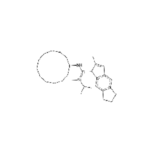 CC1=Cc2cc3c(cc2[CH]1[Ti]([NH]C1CCCCCCCCCCC1)=[Si](C)C(C)C)CCC3